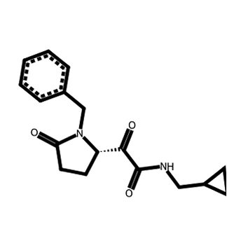 O=C(NCC1CC1)C(=O)[C@@H]1CCC(=O)N1Cc1ccccc1